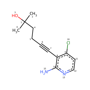 CC(C)(O)CCC#Cc1c(Cl)ccnc1N